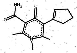 Cc1c(C(N)=O)c(=O)c(C2=CCCC2)c(C)n1C